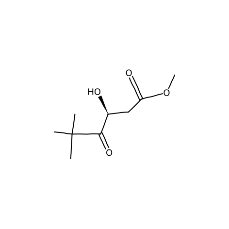 COC(=O)C[C@H](O)C(=O)C(C)(C)C